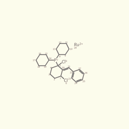 ClC1CCCC(Cl)(P(C2CCCCC2)C2CCCCC2)C1=Cc1ccccc1.[Ru+2]